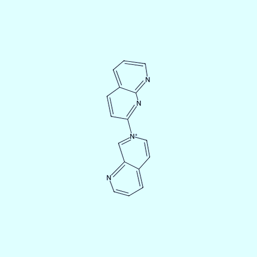 c1cnc2c[n+](-c3ccc4cccnc4n3)ccc2c1